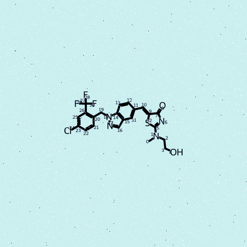 CN(CCO)C1=NC(=O)C(=Cc2ccc3c(cnn3Cc3ccc(Cl)cc3C(F)(F)F)c2)S1